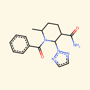 CC1CCC(C(N)=O)C(n2nccn2)N1C(=O)c1ccccc1